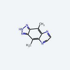 Cc1c2nccnc2c(C)c2n[nH]nc12